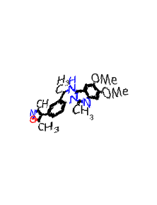 COc1cc2nc(C)nc(N[C@H](C)c3cccc(-c4c(C)noc4C)c3)c2cc1OC